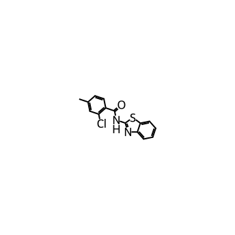 Cc1ccc(C(=O)Nc2nc3ccccc3s2)c(Cl)c1